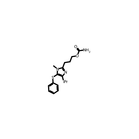 CC(C)c1nc(CCCOC(N)=O)n(C)c1Sc1ccccc1